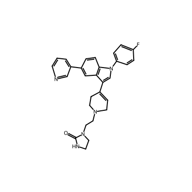 O=C1NCCN1CCN1CC=C(c2cn(-c3ccc(F)cc3)c3ccc(-c4cccnc4)cc23)CC1